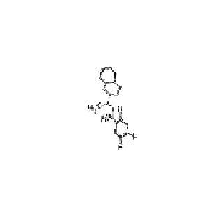 CC(c1ccc2ccccc2c1)c1nc2cc(F)c(F)cc2[nH]1